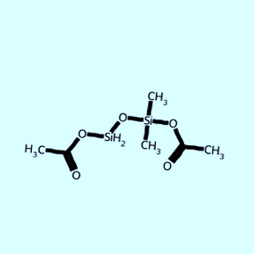 CC(=O)O[SiH2]O[Si](C)(C)OC(C)=O